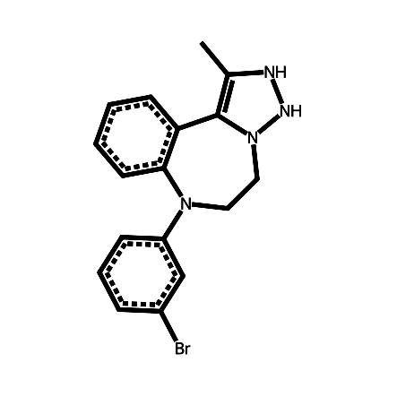 CC1=C2c3ccccc3N(c3cccc(Br)c3)CCN2NN1